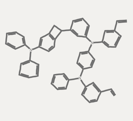 C=Cc1cccc(N(c2ccccc2)c2ccc(N(c3cccc(C=C)c3)c3cccc(C4Cc5cc(N(c6ccccc6)c6ccccc6)ccc54)c3)cc2)c1